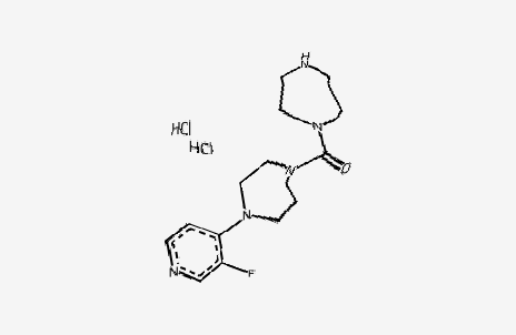 Cl.Cl.O=C(N1CCNCC1)N1CCN(c2ccncc2F)CC1